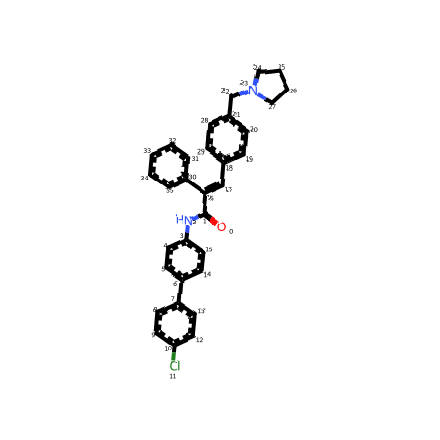 O=C(Nc1ccc(-c2ccc(Cl)cc2)cc1)/C(=C/c1ccc(CN2CCCC2)cc1)c1ccccc1